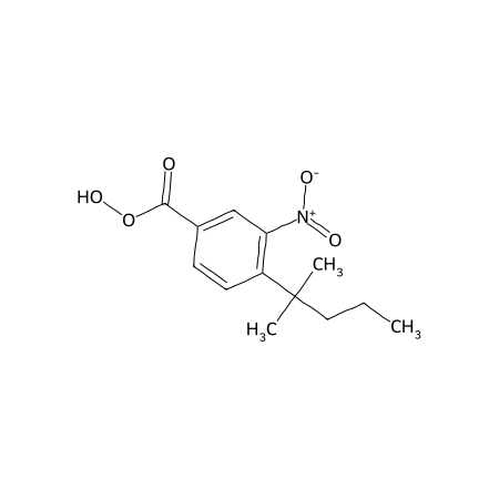 CCCC(C)(C)c1ccc(C(=O)OO)cc1[N+](=O)[O-]